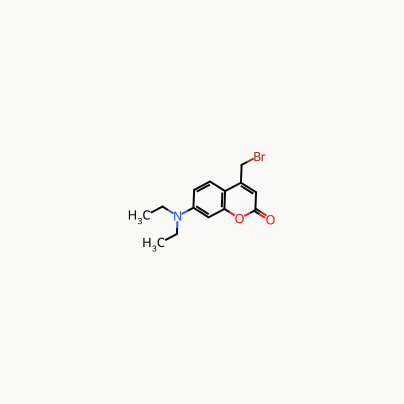 CCN(CC)c1ccc2c(CBr)cc(=O)oc2c1